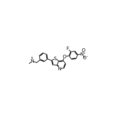 CN(C)Cc1cccc(-c2cc3nccc(Oc4ccc([N+](=O)[O-])cc4F)c3s2)c1